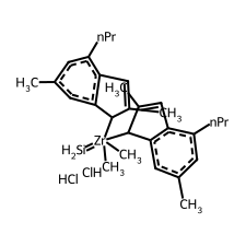 CCCc1cc(C)cc2c1C=C(C)[CH]2[Zr]([CH3])([CH3])(=[SiH2])[CH]1C(C)=Cc2c(CCC)cc(C)cc21.Cl.Cl